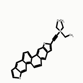 CC[Si](C#Cc1cc2cc3ccc4c5cc6occc6cc5ccc4c3cc2o1)(CC)CC